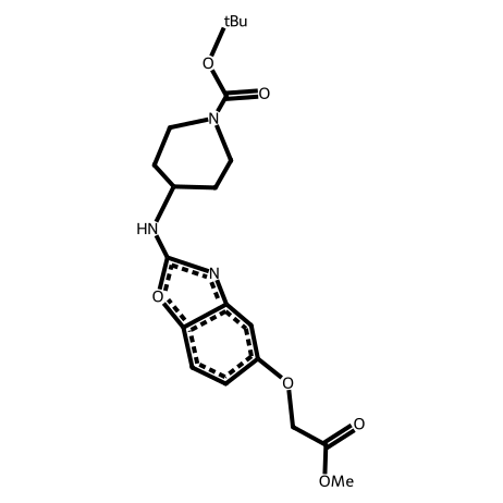 COC(=O)COc1ccc2oc(NC3CCN(C(=O)OC(C)(C)C)CC3)nc2c1